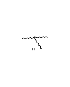 CCCCCCCCP(CCCCCCCC)CCCCCCCC.I